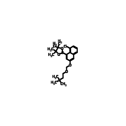 CC1(C)OB(c2cc(OCOCC[Si](C)(C)C)cc3cccc(Cl)c23)OC1(C)C